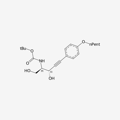 CCCCCOc1ccc(C#C[C@H](O)[C@@H](CO)NC(=O)OC(C)(C)C)cc1